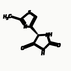 Cc1nc([C@@H]2NC(=O)NC2=O)cs1